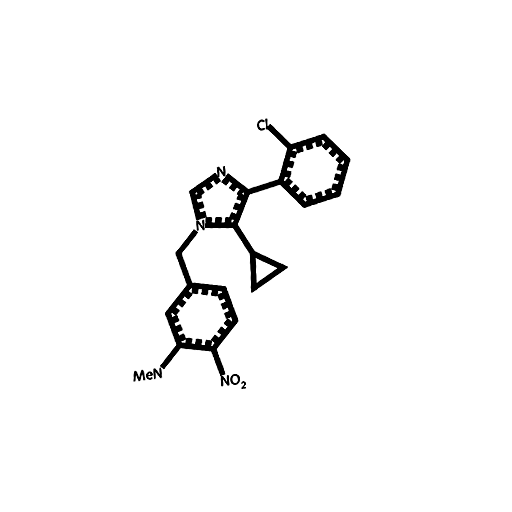 CNc1cc(Cn2cnc(-c3ccccc3Cl)c2C2CC2)ccc1[N+](=O)[O-]